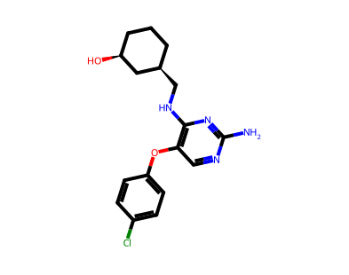 Nc1ncc(Oc2ccc(Cl)cc2)c(NC[C@@H]2CCC[C@H](O)C2)n1